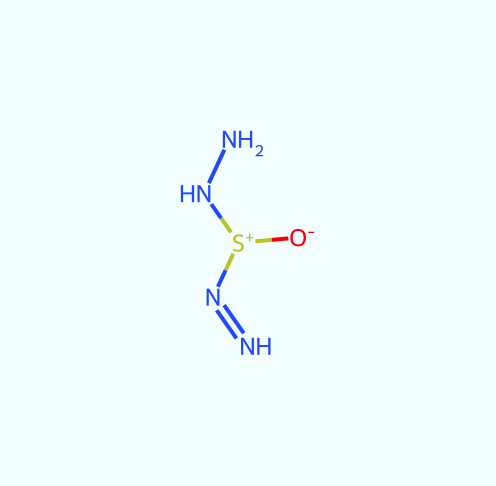 N=N[S+]([O-])NN